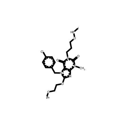 CC(C)OCCOc1nc2c(c(=O)n(CCCOPI)c(=O)n2C)n1Cc1ccc(Cl)cc1